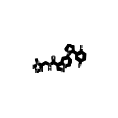 Cn1nnnc1CNC(=O)c1cnn2ccc(N3CCCC3c3cc(F)ccc3F)cc12